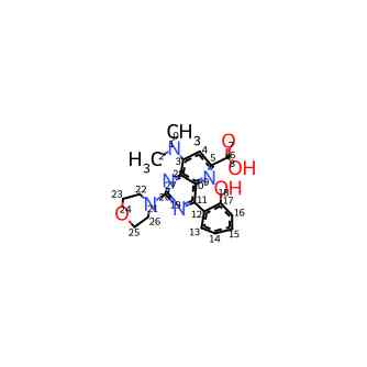 CN(C)c1cc(C(=O)O)nc2c(-c3ccccc3O)nc(N3CCOCC3)nc12